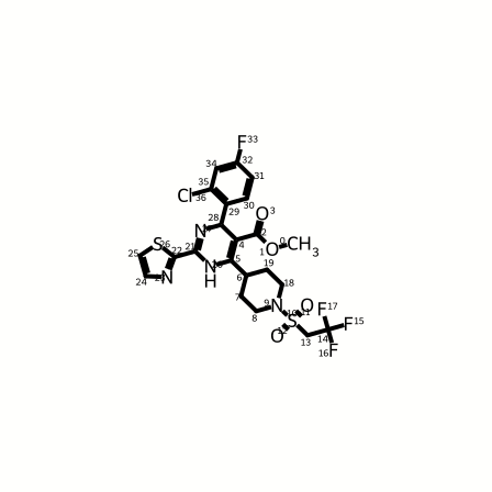 COC(=O)C1=C(C2CCN(S(=O)(=O)CC(F)(F)F)CC2)NC(c2nccs2)=NC1c1ccc(F)cc1Cl